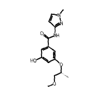 COC[C@@H](C)Oc1cc(O)cc(C(=O)Nc2ccn(C)n2)c1